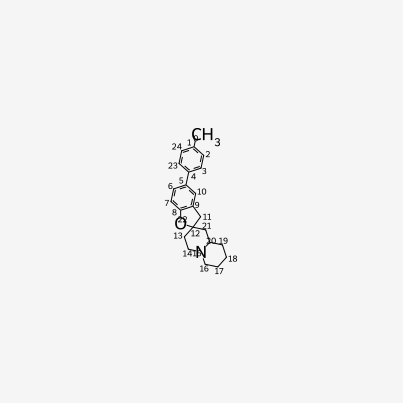 Cc1ccc(-c2ccc3c(c2)CC2(CCN4CCCCC4C2)O3)cc1